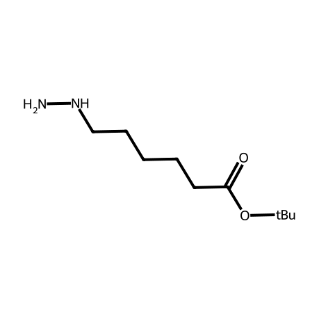 CC(C)(C)OC(=O)CCCCCNN